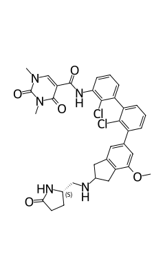 COc1cc(-c2cccc(-c3cccc(NC(=O)c4cn(C)c(=O)n(C)c4=O)c3Cl)c2Cl)cc2c1CC(NC[C@@H]1CCC(=O)N1)C2